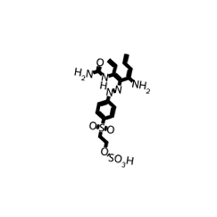 C=C/C=C(/N)C(/N=N/c1ccc(S(=O)(=O)CCOS(=O)(=O)O)cc1)=C(C=C)NC(N)=O